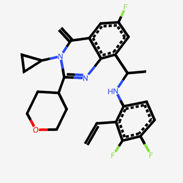 C=Cc1c(NC(C)c2cc(F)cc3c2N=C(C2CCOCC2)N(C2CC2)C3=C)ccc(F)c1F